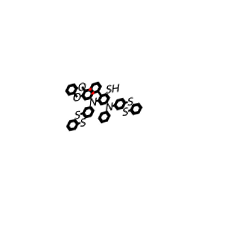 Sc1cc(N(c2ccccc2)c2ccc3c(c2)Sc2ccccc2S3)cc(N(c2ccc3c(c2)Oc2ccccc2O3)c2ccc3c(c2)Sc2ccccc2S3)c1-c1ccccc1